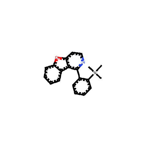 C[Si](C)(C)c1ccccc1-c1nccc2oc3ccccc3c12